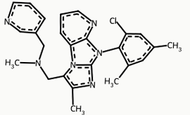 Cc1cc(C)c(-n2c3ncccc3n3c(CN(C)Cc4cccnc4)c(C)nc23)c(Cl)c1